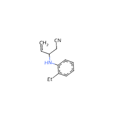 C=CC(CC#N)Nc1ccccc1CC